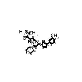 Cc1cccc(-c2ccn(-c3cc(N4CCOCC4)n4nc(C(=O)N(C)C)cc4n3)n2)c1